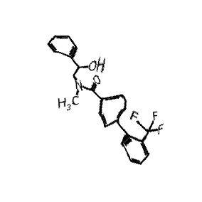 CN(CC(O)c1ccccc1)C(=O)c1ccc(-c2ccccc2C(F)(F)F)cc1